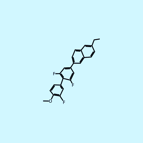 CCc1ccc2cc(-c3cc(F)c(-c4ccc(OC)c(F)c4)c(F)c3)ccc2c1